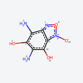 Nc1c(O)c(N)c2no[n+]([O-])c2c1O